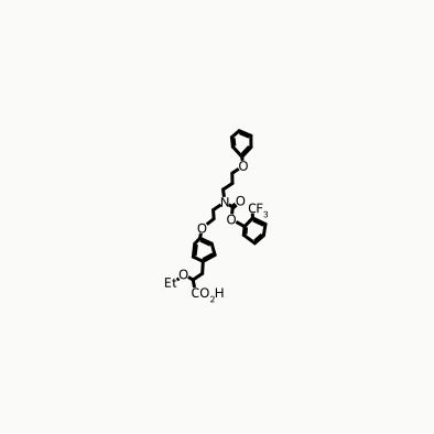 CCOC(Cc1ccc(OCCN(CCCOc2ccccc2)C(=O)Oc2ccccc2C(F)(F)F)cc1)C(=O)O